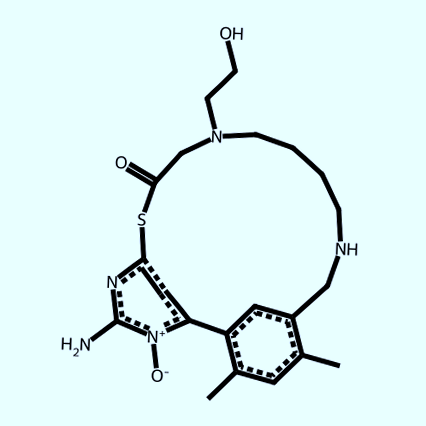 Cc1cc(C)c2cc1CNCCCCN(CCO)CC(=O)Sc1cc-2[n+]([O-])c(N)n1